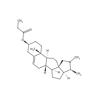 CCC(=O)O[C@H]1CC[C@@]2(C)C(=CC[C@H]3[C@@H]4CC[C@@H]5[C@H](C)N(C)C[C@@]54CC[C@@H]32)C1